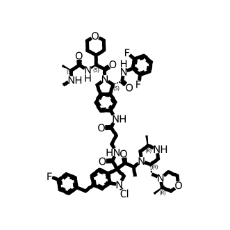 CN[C@@H](C)C(=O)N[C@H](C(=O)N1Cc2ccc(NC(=O)CCNC(=O)C3(C(=O)C(C)N4C[C@@H](C)NC[C@@H]4CN4CCOC[C@H]4C)CN(Cl)c4cc(Cc5ccc(F)cc5)ccc43)cc2[C@H]1C(=O)Nc1c(F)cccc1F)C1CCOCC1